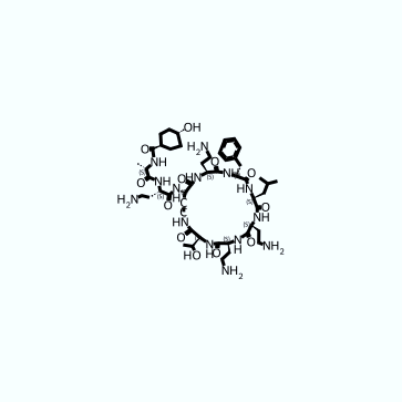 CC(C)C[C@@H]1NC(=O)[C@@H](Cc2ccccc2)NC(=O)[C@H](CCN)NC(=O)[C@@H](NC(=O)[C@H](CCN)NC(=O)[C@H](C)NC(=O)[C@H]2CC[C@H](O)CC2)CCNC(=O)[C@H](C(C)O)NC(=O)[C@H](CCN)NC(=O)[C@H](CCN)NC1=O